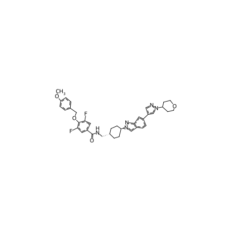 COc1ccc(COc2c(F)cc(C(=O)NC[C@H]3CC[C@H](n4cc5ccc(-c6cnn(C7CCOCC7)c6)cc5n4)CC3)cc2F)cc1